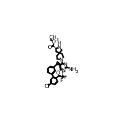 CCOC(=O)[C@@H]1CC2(CCN(c3cc(O[C@H](c4ccc(Cl)cc4-c4cccc(C5CC5)c4)C(F)(F)F)nc(N)n3)CC2)CN1